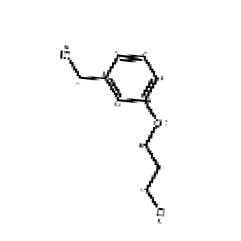 OCc1cccc(OCCCCl)c1